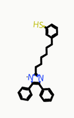 Sc1cccc(CCCCCCC2=NC(c3ccccc3)=C(c3ccccc3)[N]2)c1